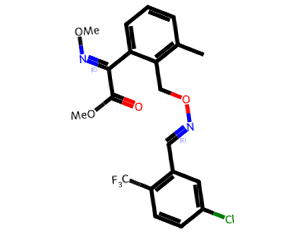 CO/N=C(/C(=O)OC)c1cccc(C)c1CO/N=C/c1cc(Cl)ccc1C(F)(F)F